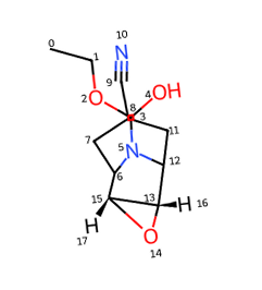 CCOC(O)N1C2CC(C#N)CC1[C@@H]1O[C@H]21